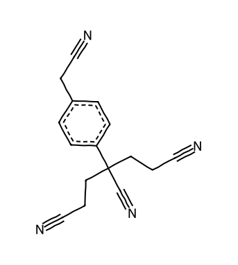 N#CCCC(C#N)(CCC#N)c1ccc(CC#N)cc1